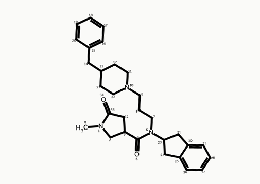 CN1CC(C(=O)N(CCCN2CCC(Cc3ccccc3)CC2)C2Cc3ccccc3C2)CC1=O